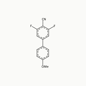 COc1ccc(-c2cc(F)c(C#N)c(F)c2)cc1